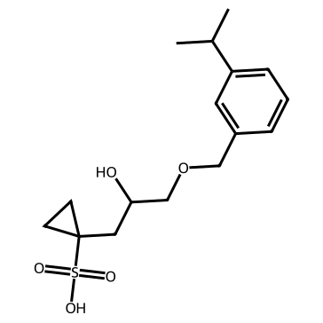 CC(C)c1cccc(COCC(O)CC2(S(=O)(=O)O)CC2)c1